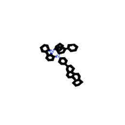 c1ccc(-c2cccc(N(c3ccc(-c4ccc5c(ccc6c7ccccc7ccc56)c4)cc3)c3cccc4c5ccccc5n(-c5ccccc5)c34)c2)cc1